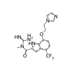 CN(C(=N)N)C(=O)c1cc2c(C(F)(F)F)ccc(OCCn3ccnc3)c2[nH]1